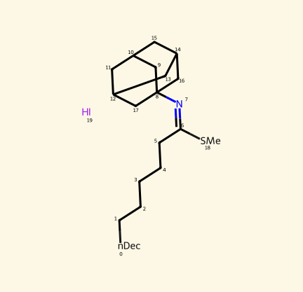 CCCCCCCCCCCCCCCC(=NC12CC3CC(CC(C3)C1)C2)SC.I